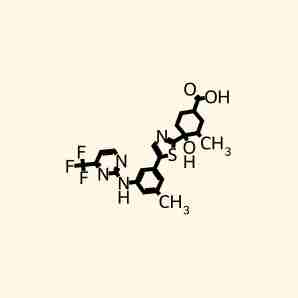 Cc1cc(Nc2nccc(C(F)(F)F)n2)cc(-c2cnc(C3(O)CCC(C(=O)O)CC3C)s2)c1